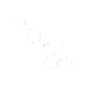 CCCCS(=O)(=O)Nc1cccc(NC(=O)C2CCN(C(=O)OC(C)(C)C)CC2)c1CCC(=O)OCC